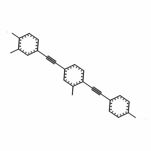 CCCCCCc1ccc(C#Cc2ccc(C#Cc3ccc(CCCC)c(F)c3)cc2F)cc1